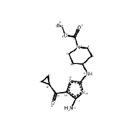 CC(C)(C)OC(=O)N1CCC(Nc2nc(N)c(C(=O)C3CC3)s2)CC1